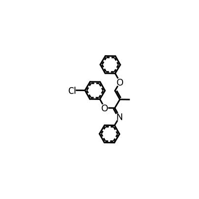 CC(=C\Oc1ccccc1)/C(=N/c1ccccc1)Oc1cccc(Cl)c1